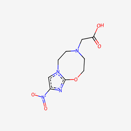 O=C(O)CN1CCOc2nc([N+](=O)[O-])cn2CC1